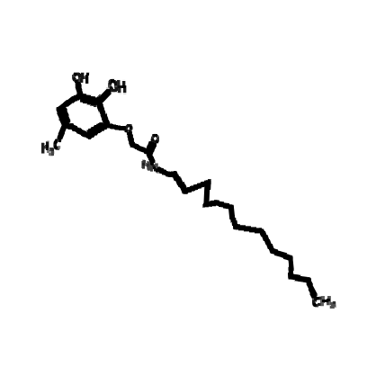 CCCCCCCCCCCCNC(=O)COc1cc(C)cc(O)c1O